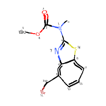 CN(C(=O)OC(C)(C)C)c1nc2c(CBr)cccc2s1